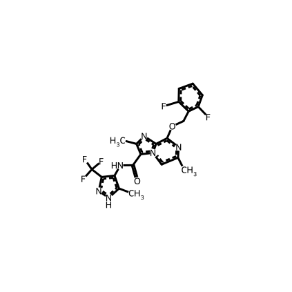 Cc1cn2c(C(=O)Nc3c(C(F)(F)F)n[nH]c3C)c(C)nc2c(OCc2c(F)cccc2F)n1